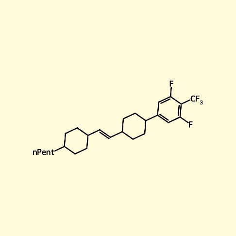 CCCCCC1CCC(/C=C/C2CCC(c3cc(F)c(C(F)(F)F)c(F)c3)CC2)CC1